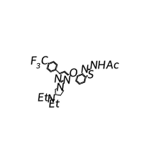 CCN(CC)C1CCN(c2nc(Oc3cccc4sc(NC(C)=O)nc34)cc(-c3ccc(C(F)(F)F)cc3)n2)C1